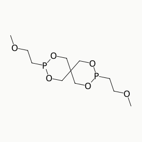 COCCP1OCC2(CO1)COP(CCOC)OC2